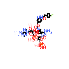 Nc1ccn([C@@H]2O[C@H](COP(=O)(O)O)[C@@H](OP(=O)(O)OC[C@H]3O[C@@H](n4cnc5c(N)ncnc54)[C@H](O)[C@@H]3OC(=O)[C@@H]3CCN3C(=O)OCc3ccc(NC(=O)Cc4ccc(F)cc4)cc3)[C@H]2OC2CCCO2)c(=O)n1